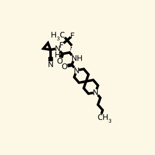 CCCCN1CCC2(CC1)CCN(C(=O)N[C@@H](CC(C)(F)F)C(=O)NC1(C#N)CC1)CC2